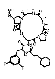 C[C@@H]1NC(=O)[C@H](C)N(C)C(=O)[C@@H]2CCCN2C(=O)[C@@H](NC(=O)[C@H](Cc2cc(F)cc(F)c2)NC(=O)CCC2CCCCC2)COC(=O)[C@@H]2C[C@H](N=N)CN2C1=O